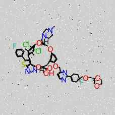 Cc1c(Cl)c2c(Cl)c(C)c1-c1c(-c3ccc(F)cc3)sc3ncnc(c13)O[C@@H](C(=O)O)Cc1cc(ccc1OCc1ccnc(C3=CC[C@](F)(COC[C@@H]4COCCO4)CC3)n1)OC[C@@H](CN1CCN(C)CC1)O2